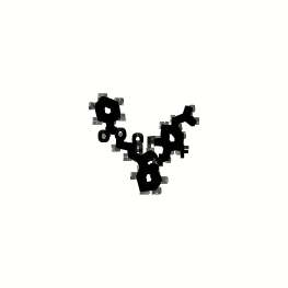 CC(C)Cc1cc(F)c(Cn2cc(C[C@H](O)COC(=O)c3ccccc3)c3ccccc32)c(F)c1